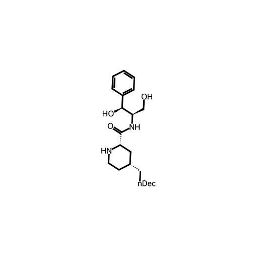 CCCCCCCCCCC[C@@H]1CCN[C@H](C(=O)N[C@H](CO)[C@@H](O)c2ccccc2)C1